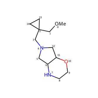 COCC1(CN2CC3NCCOC3C2)CC1